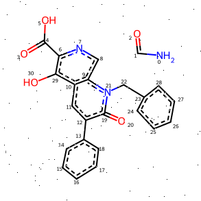 NC=O.O=C(O)c1ncc2c(cc(-c3ccccc3)c(=O)n2Cc2ccccc2)c1O